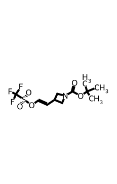 CC(C)(C)OC(=O)N1CC(C=COS(=O)(=O)C(F)(F)F)C1